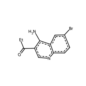 CCC(=O)c1cnc2ccc(Br)cc2c1N